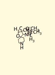 CC1(C)COC2(CCNCC2)C1N[S@+]([O-])C(C)(C)C